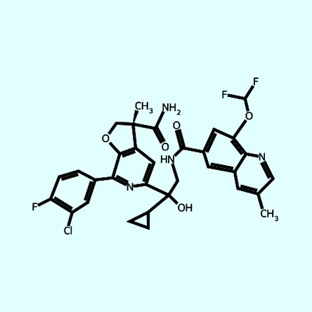 Cc1cnc2c(OC(F)F)cc(C(=O)NCC(O)(c3cc4c(c(-c5ccc(F)c(Cl)c5)n3)OC[C@]4(C)C(N)=O)C3CC3)cc2c1